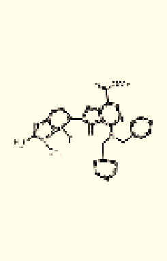 COC(=O)c1cnc(N(Cc2ccccc2)Cc2ccccc2)c2[nH]c(-c3ccc4nc(C)n(C)c4c3F)cc12